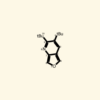 CC(C)(C)c1cc2cocc2nc1C(C)(C)C